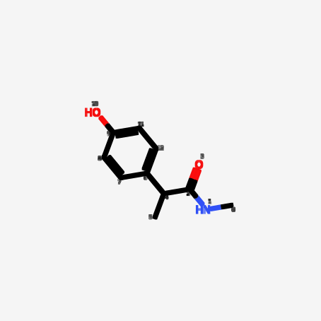 CNC(=O)C(C)c1ccc(O)cc1